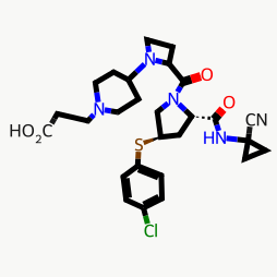 N#CC1(NC(=O)[C@@H]2C[C@@H](Sc3ccc(Cl)cc3)CN2C(=O)C2CCN2C2CCN(CCC(=O)O)CC2)CC1